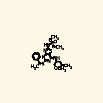 COP(=O)(Nc1nc2nc(S[C@@H](C)c3ccccc3)nc(NC(CO)CC(C)C)c2s1)OC